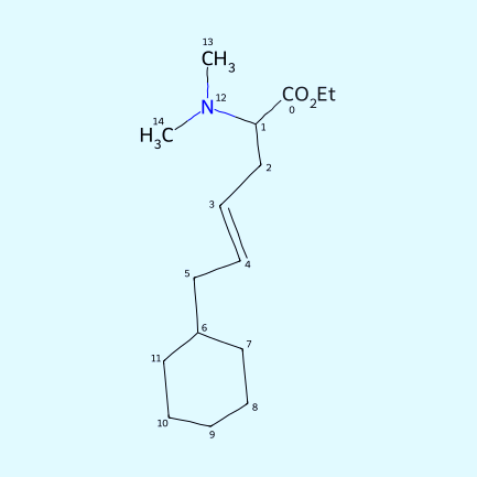 CCOC(=O)C(CC=CCC1CCCCC1)N(C)C